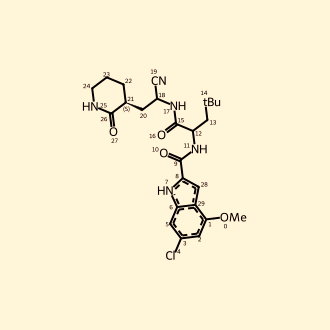 COc1cc(Cl)cc2[nH]c(C(=O)NC(CC(C)(C)C)C(=O)NC(C#N)C[C@@H]3CCCNC3=O)cc12